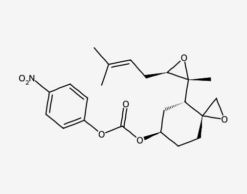 CC(C)=CC[C@H]1O[C@]1(C)[C@H]1C[C@H](OC(=O)Oc2ccc([N+](=O)[O-])cc2)CC[C@]12CO2